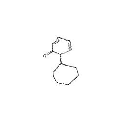 O=C1[C]=CC=CC1C1CCCCC1